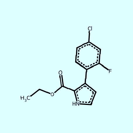 CCOC(=O)c1[nH]ccc1-c1ccc(Cl)cc1F